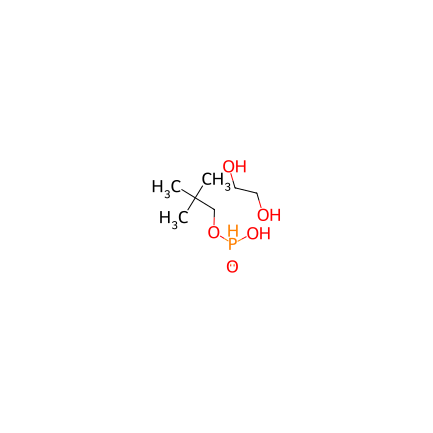 CC(C)(C)CO[PH](=O)O.OCCO